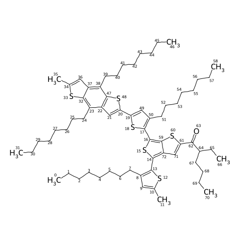 CCCCCCCCc1cc(C)sc1-c1sc(-c2sc(-c3cc4c(CCCCCCCC)c5sc(C)cc5c(CCCCCCCC)c4s3)cc2CCCCCCCC)c2sc(C(=O)C(CC)CCCC)cc12